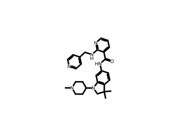 CN1CCC(N2CC(C)(C)c3ccc(NC(=O)c4cccnc4NCc4ccncc4)cc32)CC1